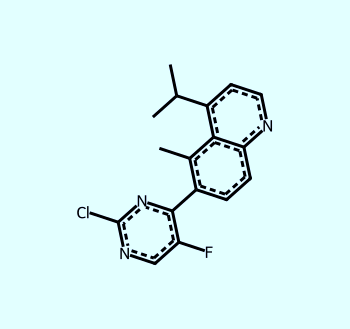 Cc1c(-c2nc(Cl)ncc2F)ccc2nccc(C(C)C)c12